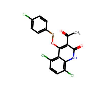 CC(=O)c1c(OSc2ccc(Cl)cc2)c2c(Cl)ccc(Cl)c2[nH]c1=O